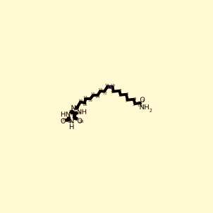 NC(=O)CCCCCCC/C=C\CCCCCCCCc1nc2[nH]c(=O)[nH]c(=O)c2[nH]1